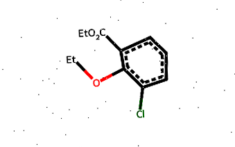 CCOC(=O)c1cccc(Cl)c1OCC